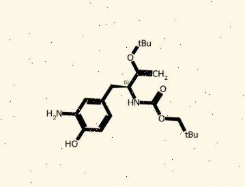 C=C(OC(C)(C)C)[C@H](Cc1ccc(O)c(N)c1)NC(=O)OCC(C)(C)C